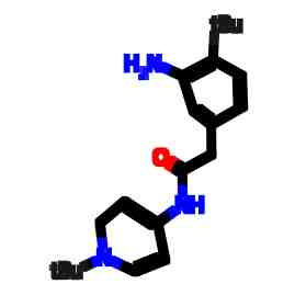 CC(C)(C)c1ccc(CC(=O)NC2=CCN(C(C)(C)C)C=C2)cc1N